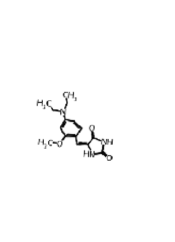 CCN(CC)c1ccc(/C=C2/NC(=O)NC2=O)c(OC)c1